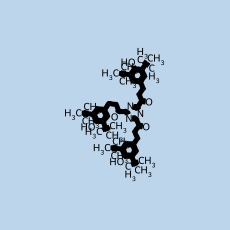 CC(C)(C)c1cc(CCC(=O)c2nc(C(=O)CCc3cc(C(C)(C)C)c(O)c(C(C)(C)C)c3)nc(C(=O)CCc3cc(C(C)(C)C)c(O)c(C(C)(C)C)c3)n2)cc(C(C)(C)C)c1O